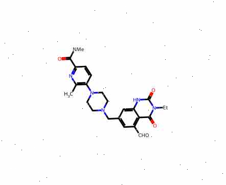 CCn1c(=O)[nH]c2cc(CN3CCN(c4ccc(C(=O)NC)nc4C)CC3)cc(C=O)c2c1=O